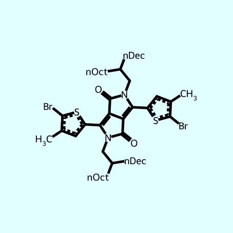 CCCCCCCCCCC(CCCCCCCC)CN1C(=O)C2=C(c3cc(C)c(Br)s3)N(CC(CCCCCCCC)CCCCCCCCCC)C(=O)C2=C1c1cc(C)c(Br)s1